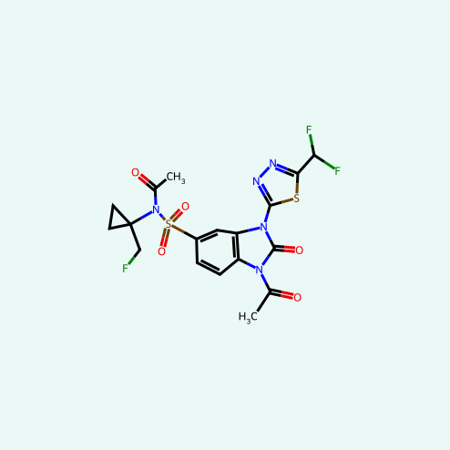 CC(=O)N(C1(CF)CC1)S(=O)(=O)c1ccc2c(c1)n(-c1nnc(C(F)F)s1)c(=O)n2C(C)=O